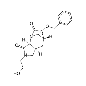 O=C1[C@@H]2[C@@H](C[C@@H]3CN2C(=O)N3OCc2ccccc2)CN1CCO